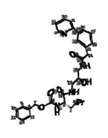 CC(C)C[C@H](NC(=O)OCc1ccccc1)C(=O)NCC(O)CNC(=O)Cc1cccc(-c2ccccn2)c1